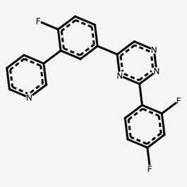 Fc1ccc(-c2nncc(-c3ccc(F)c(-c4cccnc4)c3)n2)c(F)c1